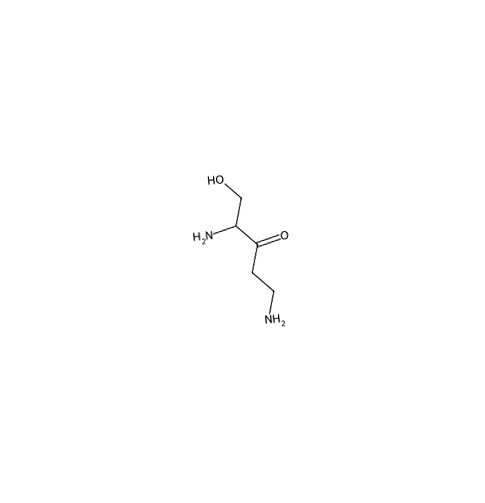 NCCC(=O)C(N)CO